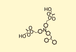 C=C(C(=O)CO)C(=O)OCCc1ccc(N(c2ccc(C=C(c3ccccc3)c3ccccc3)cc2)c2ccc(CCOC(=O)C(=C)C(=O)CO)cc2)cc1